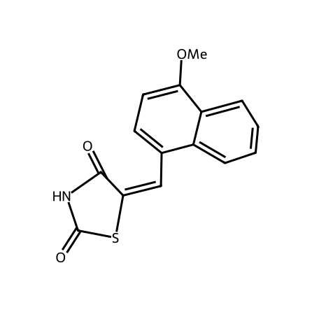 COc1ccc(C=C2SC(=O)NC2=O)c2ccccc12